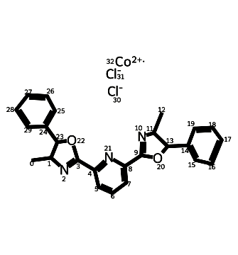 CC1N=C(c2cccc(C3=NC(C)C(c4ccccc4)O3)n2)OC1c1ccccc1.[Cl-].[Cl-].[Co+2]